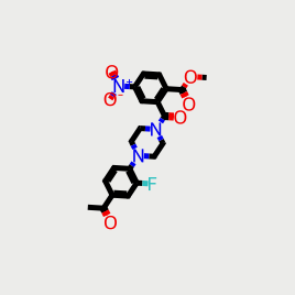 COC(=O)c1ccc([N+](=O)[O-])cc1C(=O)N1CCN(c2ccc(C(C)=O)cc2F)CC1